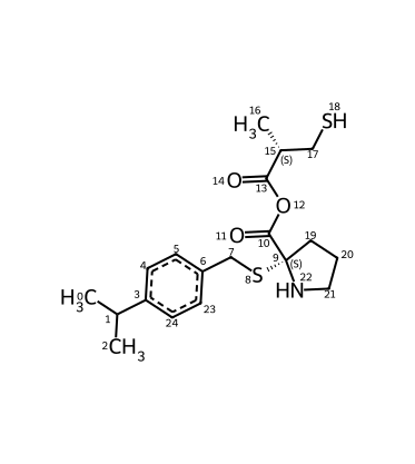 CC(C)c1ccc(CS[C@]2(C(=O)OC(=O)[C@H](C)CS)CCCN2)cc1